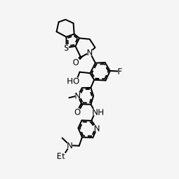 CCN(C)Cc1ccc(Nc2cc(-c3cc(F)cc(N4CCc5c(sc6c5CCCC6)C4=O)c3CO)cn(C)c2=O)nc1